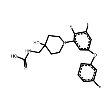 O=C(O)NCC1(O)CCN(c2cc(Oc3cccc(F)c3)cc(F)c2F)CC1